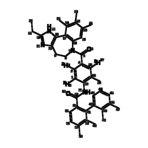 [2H]c1c([2H])c(C(=O)N2CCc3nc(CC)[nH]c3-c3c2cc(C)c(C)c3C)c([2H])c(C)c1NC(=O)c1ccc(C)c(C)c1-c1cccc(C)c1C